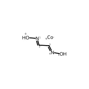 O/N=C/C=N/O.[Co]